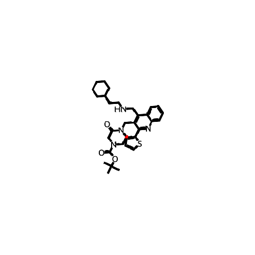 CC(C)(C)OC(=O)N1CCN(Cc2c(-c3cccs3)nc3ccccc3c2CNCCC2CCCCC2)C(=O)C1